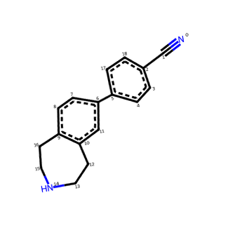 N#Cc1ccc(-c2ccc3c(c2)CCNCC3)cc1